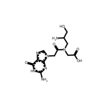 Nc1nc2c(ncn2CC(=O)N(CC(=O)O)CC(N)CO)c(=O)[nH]1